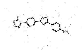 Nc1ccc(C2=NC(c3ccc(-c4nnn[nH]4)cc3)CS2)cc1